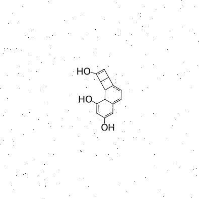 OC1=CC2=CC=C3C4C=C(O)C4C3C2C(O)=C1